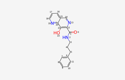 O=C(NCCCc1ccccc1)c1ncc2cccnc2c1O